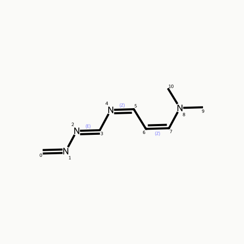 C=N/N=C/N=C\C=C/N(C)C